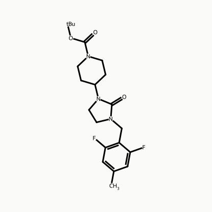 Cc1cc(F)c(CN2CCN(C3CCN(C(=O)OC(C)(C)C)CC3)C2=O)c(F)c1